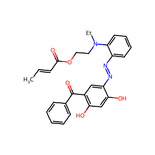 CC=CC(=O)OCCN(CC)c1ccccc1N=Nc1cc(C(=O)c2ccccc2)c(O)cc1O